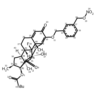 CCCCC(=O)O[C@]12C(=O)COC3=C(OCc4cccc(CO[N+](=O)[O-])c4)C(=O)C=C4CC[C@H]5[C@H](C[C@@H]1C)[C@@]2(C)C[C@@H](O)C5(F)[C@]43C